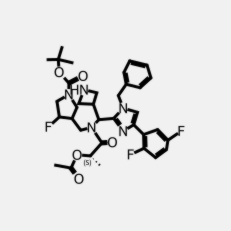 CC(=O)O[C@@H](C)C(=O)N(CC1CN(C(=O)OC(C)(C)C)CC1F)C(c1nc(-c2cc(F)ccc2F)cn1Cc1ccccc1)C1CNC1